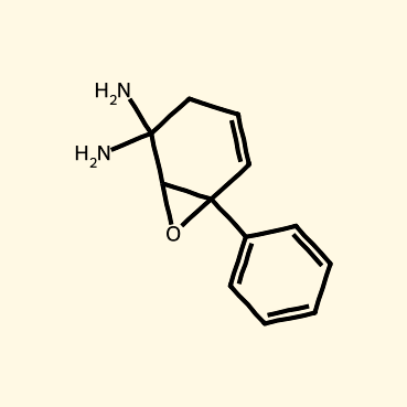 NC1(N)CC=CC2(c3ccccc3)OC12